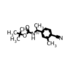 Cc1cc([C@H](C)NC(=O)OC(C)(C)C)ccc1C#N